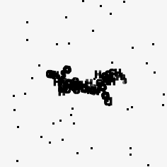 CC1(CNC(=O)OC(C)(C)C)CCC(c2ccc(Cl)cc2)=C(CN2CCN(c3ccc(C(=O)NS(=O)(=O)c4ccc(NC(CCN5CCOCC5)CSc5ccccc5)c(S(=O)(=O)C(F)(F)F)c4)cc3)CC2)C1